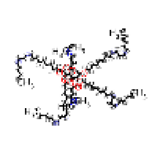 CCCCC/C=C\C/C=C\CCCCCCCCOCC(OCCCCCCCC/C=C\C/C=C\CCCCC)C(OC(=O)CCCN(C)C)C(OC(=O)CCCN(C)C)C(COCCCCCCCC/C=C\C/C=C\CCCCC)OCCCCCCCC/C=C\C/C=C\CCCCC